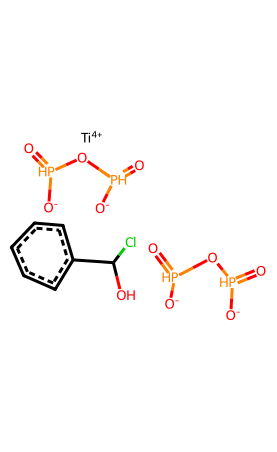 O=[PH]([O-])O[PH](=O)[O-].O=[PH]([O-])O[PH](=O)[O-].OC(Cl)c1ccccc1.[Ti+4]